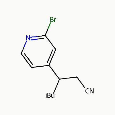 CCC(C)C(CC#N)c1ccnc(Br)c1